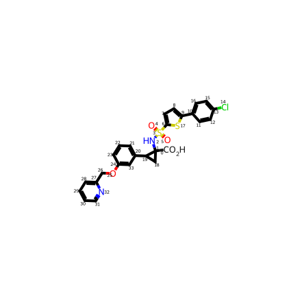 O=C(O)C1(NS(=O)(=O)c2ccc(-c3ccc(Cl)cc3)s2)CC1c1cccc(OCc2ccccn2)c1